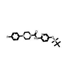 CC(C)(C)[Si](C)(C)Oc1ccc(NC(=O)N2CCN(c3ccc(F)cc3)CC2)nc1